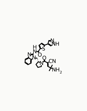 CC(C)(N)/C=C(\C#N)C(=O)N1CCC[C@@H]1Cn1c(NC(=O)c2ccc(-c3cn[nH]c3)s2)nc2ccccc21